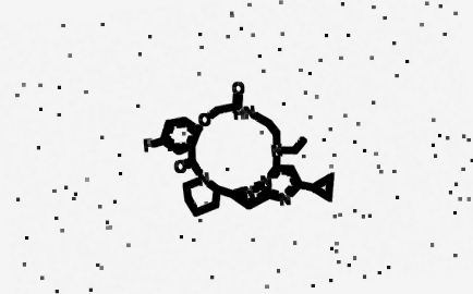 CCN1CCNC(=O)COc2ccc(F)cc2C(=O)N2CCCCC2c2cc3nc(C4CC4)cc1n3n2